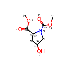 COC(=O)[C@@H]1C[C@H](O)CN1C(=O)OC